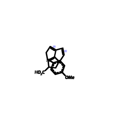 COc1ccc2c(c1)/C=C\C(C1=NC(C(=O)O)CS1)=C\CC2